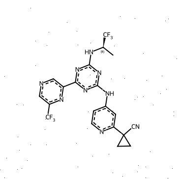 C[C@@H](Nc1nc(Nc2ccnc(C3(C#N)CC3)c2)nc(-c2cncc(C(F)(F)F)n2)n1)C(F)(F)F